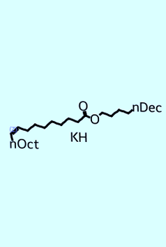 CCCCCCCC/C=C\CCCCCCCC(=O)OCCCCCCCCCCCCCC.[KH]